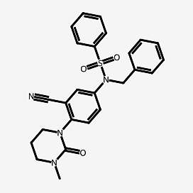 CN1CCCN(c2ccc(N(Cc3ccccc3)S(=O)(=O)c3ccccc3)cc2C#N)C1=O